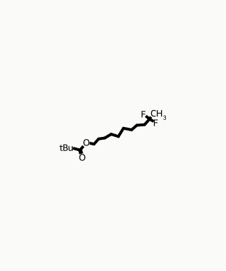 CC(F)(F)CCCCCCCCCOC(=O)C(C)(C)C